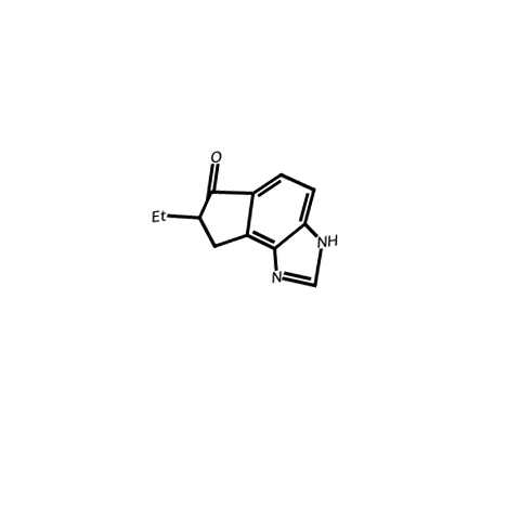 CCC1Cc2c(ccc3[nH]cnc23)C1=O